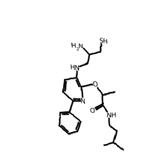 CC(C)CCNC(=O)C(C)Oc1nc(-c2ccccc2)ccc1NCC(N)CS